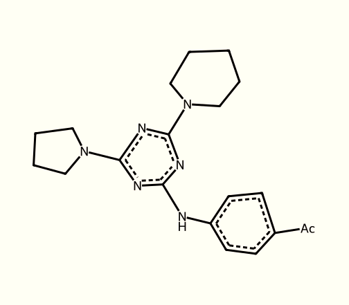 CC(=O)c1ccc(Nc2nc(N3CCCCC3)nc(N3CCCC3)n2)cc1